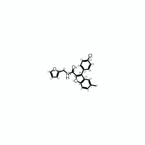 Cc1ccc2oc(C(=O)NCc3ccco3)c(-c3ccc(Cl)cc3)c2c1